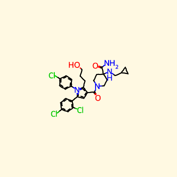 NC(=O)C1(NCC2CC2)CCN(C(=O)c2cc(-c3ccc(Cl)cc3Cl)n(-c3ccc(Cl)cc3)c2CCCO)CC1